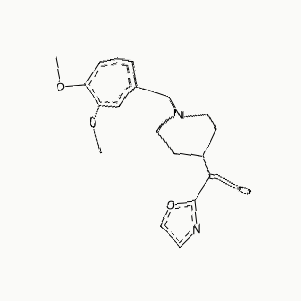 COc1ccc(CN2CCC(C(=O)c3ncco3)CC2)cc1OC